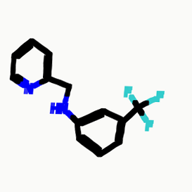 FC(F)(F)c1cccc(NCc2ccccn2)c1